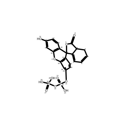 O=C1OC2(C3=CC=CCC13)c1ccc(O)cc1Oc1cc(OP(=O)(O)OP(=O)(O)O)ccc12